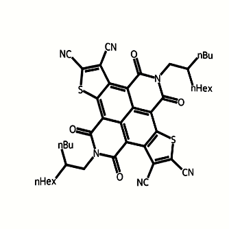 CCCCCCC(CCCC)CN1C(=O)c2c3sc(C#N)c(C#N)c3c3c4c(c5sc(C#N)c(C#N)c5c(c24)C1=O)C(=O)N(CC(CCCC)CCCCCC)C3=O